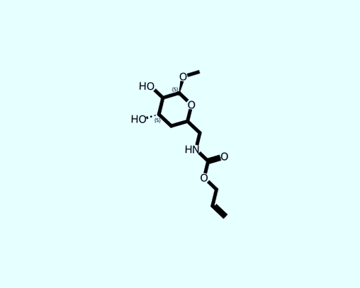 C=CCOC(=O)NCC1C[C@H](O)C(O)[C@@H](OC)O1